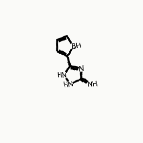 N=c1nc(C2=CC=CB2)[nH][nH]1